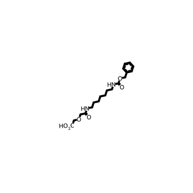 O=C(O)COCC(=O)NCCCCCCCNC(=O)OCc1ccccc1